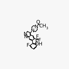 CC(=O)N1CCN(c2cnnc3cc(-c4c(O)cccc4F)c(C(F)(F)F)cc23)CC1